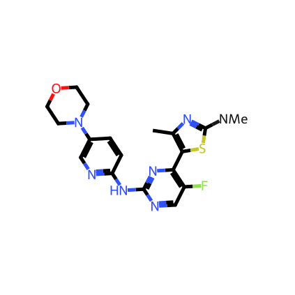 CNc1nc(C)c(-c2nc(Nc3ccc(N4CCOCC4)cn3)ncc2F)s1